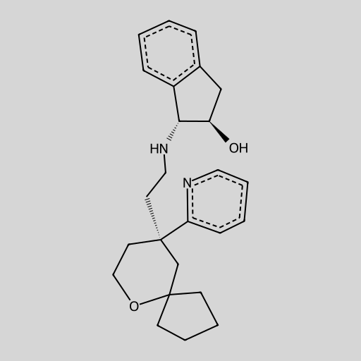 O[C@@H]1Cc2ccccc2[C@H]1NCC[C@@]1(c2ccccn2)CCOC2(CCCC2)C1